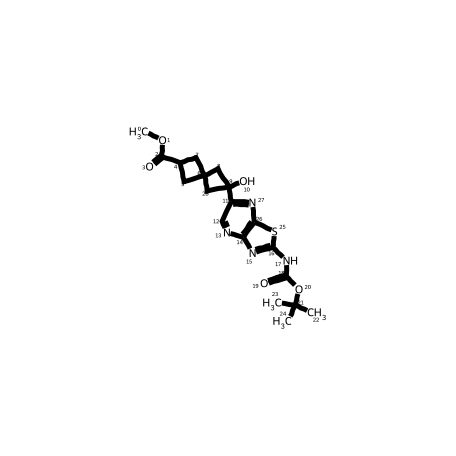 COC(=O)C1CC2(C1)CC(O)(c1cnc3nc(NC(=O)OC(C)(C)C)sc3n1)C2